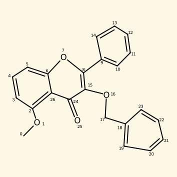 COc1cccc2oc(-c3ccccc3)c(OCc3ccccc3)c(=O)c12